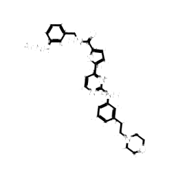 CC(=O)Nc1cccc(CNC(=O)c2ccc(-c3ccnc(Nc4cccc(CCN5CCOCC5)c4)n3)s2)c1